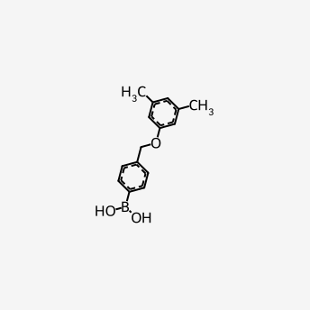 Cc1cc(C)cc(OCc2ccc(B(O)O)cc2)c1